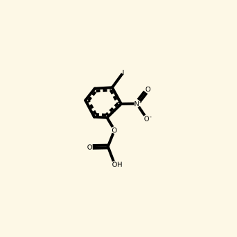 O=C(O)Oc1cccc(I)c1[N+](=O)[O-]